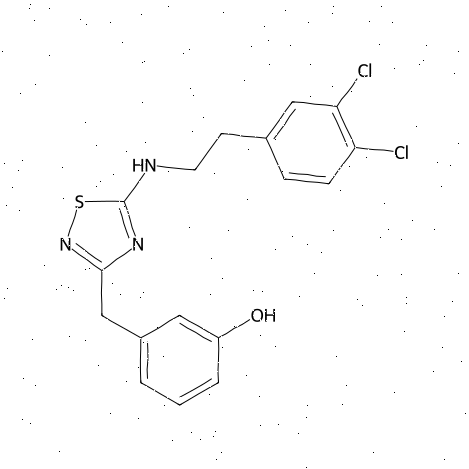 Oc1cccc(Cc2nsc(NCCc3ccc(Cl)c(Cl)c3)n2)c1